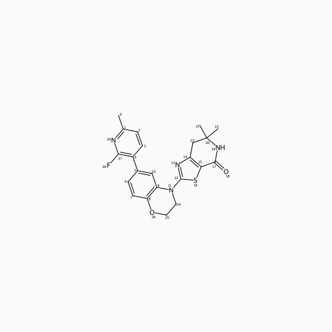 Cc1ccc(-c2ccc3c(c2)N(c2nc4c(s2)C(=O)NC(C)(C)C4)CCO3)c(F)n1